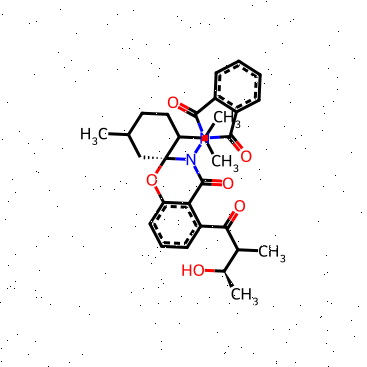 CC1CCC(C(C)C)[C@]2(C1)Oc1cccc(C(=O)C(C)[C@@H](C)O)c1C(=O)N2N1C(=O)c2ccccc2C1=O